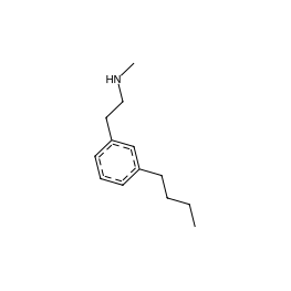 CCCCc1cccc(CCNC)c1